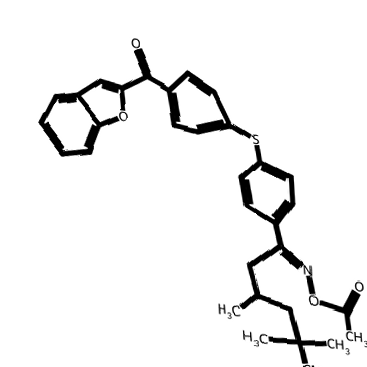 CC(=O)ON=C(CC(C)CC(C)(C)C)c1ccc(Sc2ccc(C(=O)c3cc4ccccc4o3)cc2)cc1